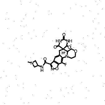 C[C@@H]1OCCN2c3c(cc4c(C(=O)NC5CN(C)C5)noc4c3F)CC3(C(=O)NC(=O)NC3=O)[C@@H]12